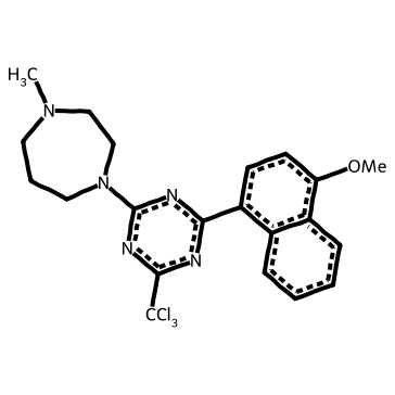 COc1ccc(-c2nc(N3CCCN(C)CC3)nc(C(Cl)(Cl)Cl)n2)c2ccccc12